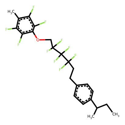 CCC(C)c1ccc(CCC(F)(F)C(F)(F)C(F)(F)COc2c(F)c(F)c(C)c(F)c2F)cc1